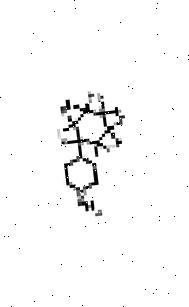 CN1CCC(C2(F)C(F)(F)C(F)(F)C(F)(F)C(F)(F)C2(F)F)CC1